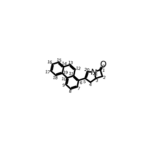 O=C1CC2CC(c3cccc4c3ccc3ccccc34)=CN12